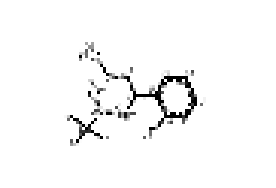 CC(C)(C)[S+]([O-])NC(CCO)c1ccccc1F